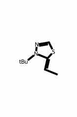 C/C=C1\SC=NN1C(C)(C)C